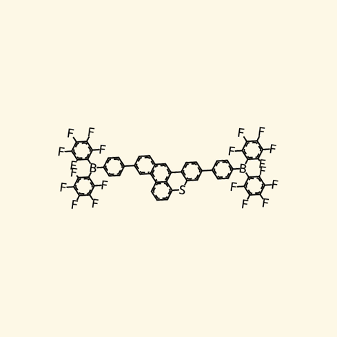 Fc1c(F)c(F)c(B(c2ccc(-c3ccc4c(c3)Sc3cccc5c3c-4cc3ccc(-c4ccc(B(c6c(F)c(F)c(F)c(F)c6F)c6c(F)c(F)c(F)c(F)c6F)cc4)cc35)cc2)c2c(F)c(F)c(F)c(F)c2F)c(F)c1F